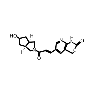 O=C1CCc2cc(/C=C/C(=O)N3C[C@H]4CC(O)C[C@H]4C3)cnc2N1